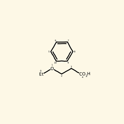 CCOCCC(=O)O.c1ccccc1